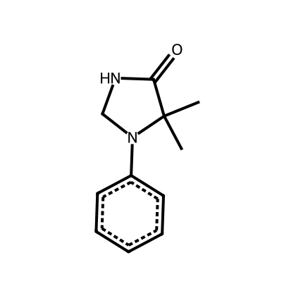 CC1(C)C(=O)NCN1c1ccccc1